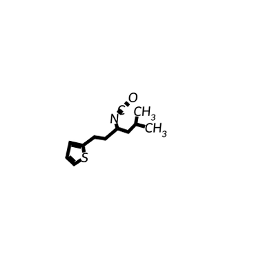 CC(C)CC(CCc1cccs1)N=C=O